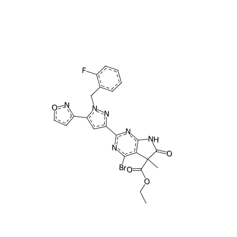 CCOC(=O)C1(C)C(=O)Nc2nc(-c3cc(-c4ccon4)n(Cc4ccccc4F)n3)nc(Br)c21